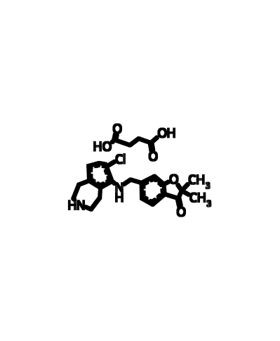 CC1(C)Oc2cc(CNc3c(Cl)ccc4c3CCNCC4)ccc2C1=O.O=C(O)CCC(=O)O